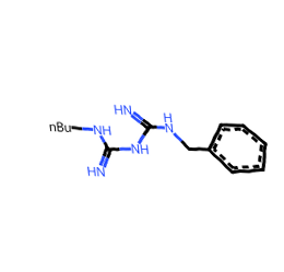 CCCCNC(=N)NC(=N)NCc1ccccc1